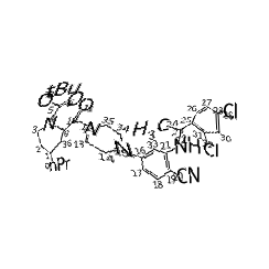 CCCC1CCN(C(=O)OC(C)(C)C)[C@@H](C(=O)N2CCN(c3ccc(C#N)c(NC(C)c4ccc(Cl)cc4Cl)c3)CC2)C1